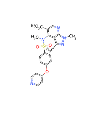 CCOC(=O)c1cnc2c(c(C)nn2C)c1N(C)S(=O)(=O)c1ccc(Oc2ccncc2)cc1